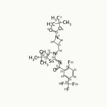 CC(C)(C)OC(=O)N1CC(Cn2cc(C(C)(C)C)s/c2=N\C(=O)c2cc(C(F)(F)F)ccc2F)C1